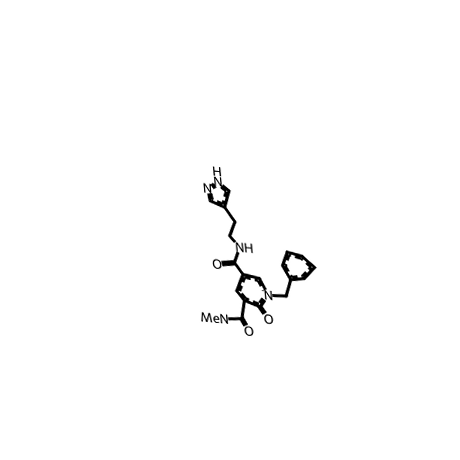 CNC(=O)c1cc(C(=O)NCCc2cn[nH]c2)cn(Cc2ccccc2)c1=O